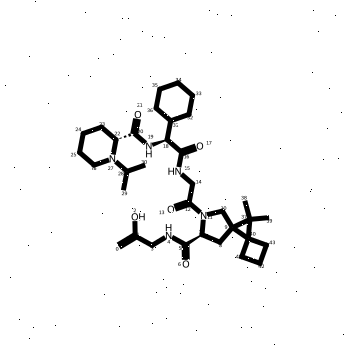 C=C(O)CNC(=O)[C@@H]1CC2(CN1C(=O)CNC(=O)[C@@H](NC(=O)[C@H]1CCCCN1C(C)C)C1CCCCC1)C(C)(C)C21CCC1